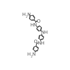 Nc1ccc(C(=O)Nc2ccc(Nc3ccc(NC(=O)c4ccc(N)cc4)cc3)cc2)cc1